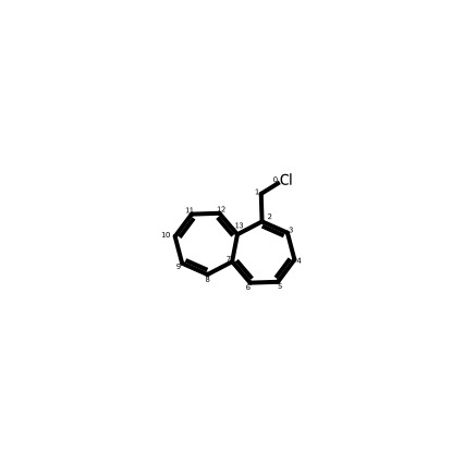 ClCC1=CC=CC=C2C=CC=CC=C21